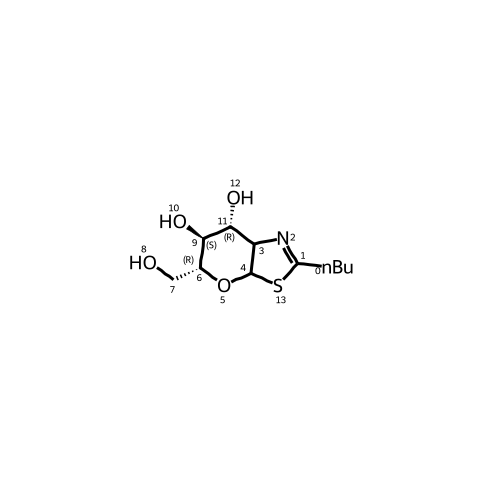 CCCCC1=NC2C(O[C@H](CO)[C@@H](O)[C@@H]2O)S1